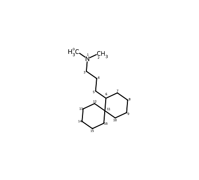 CN(C)CCCC1CCCCC12CCCCC2